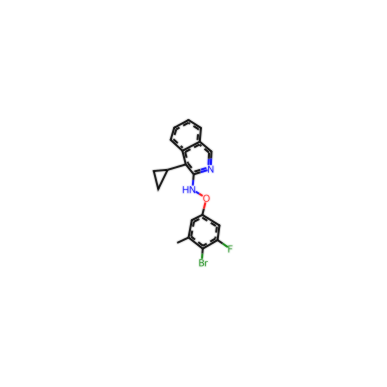 Cc1cc(ONc2ncc3ccccc3c2C2CC2)cc(F)c1Br